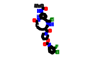 COC(=O)Nc1ccc2c(c1)NC(=O)CCCCC(C(=O)N1CCCC(OC(=O)N3c4ccc(Cl)c(F)c43)C1)c1nc-2c(Cl)[nH]1